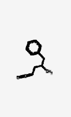 CC(CC=C=O)Cc1ccccc1